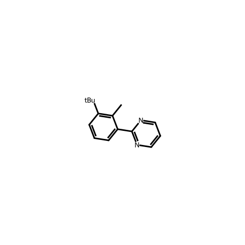 Cc1c(-c2ncccn2)cccc1C(C)(C)C